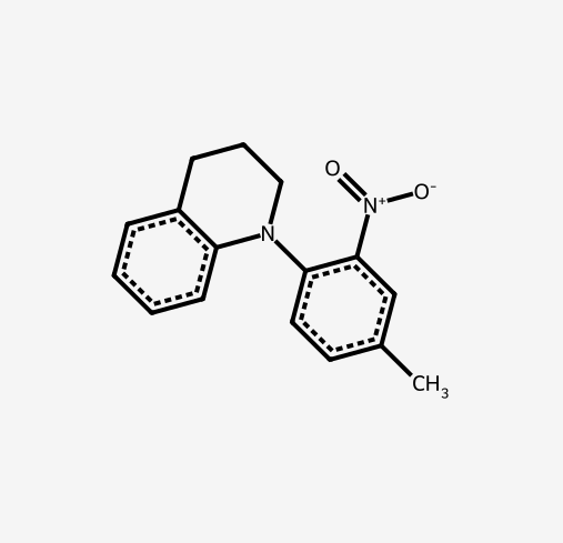 Cc1ccc(N2CCCc3ccccc32)c([N+](=O)[O-])c1